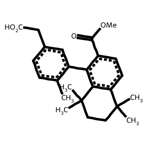 COC(=O)c1ccc2c(c1-c1cc(CC(=O)O)ccc1C)C(C)(C)CCC2(C)C